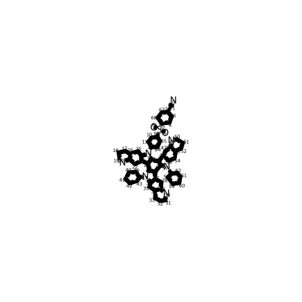 N#Cc1ccc(S(=O)(=O)c2ccc(-n3c4cc5cccnc5cc4c4c5c(c6cc7ncccc7cc6n5-c5ccccc5)c5c(c6cc7ncccc7cc6n5-c5ccccc5)c43)cc2)cc1